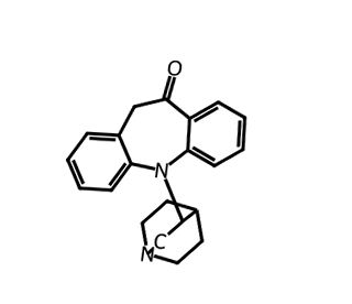 O=C1Cc2ccccc2N(C2CN3CCC2CC3)c2ccccc21